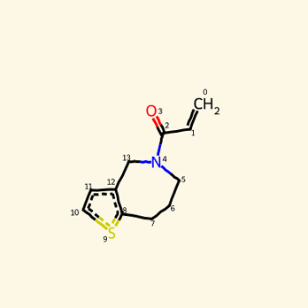 C=CC(=O)N1CCCc2sccc2C1